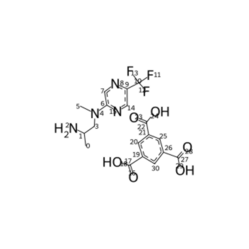 CC(N)CN(C)c1cnc(C(F)(F)F)cn1.O=C(O)c1cc(C(=O)O)cc(C(=O)O)c1